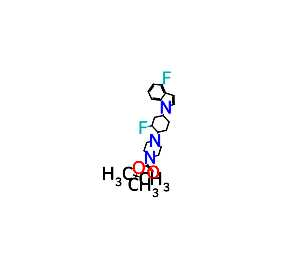 CC(C)(C)OC(=O)N1CCN([C@H]2CC[C@@H](n3ccc4c(F)cccc43)C[C@@H]2F)CC1